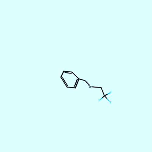 FC(F)(F)C[Te]Cc1ccccc1